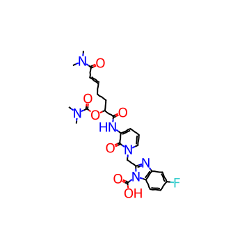 CN(C)C(=O)C=CCCC(OC(=O)N(C)C)C(=O)Nc1cccn(Cc2nc3cc(F)ccc3n2C(=O)O)c1=O